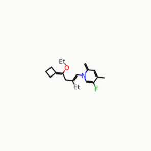 C=C1C=C(C)C(F)=CN1/C=C(\CC)CC(OCC)=C1CCC1